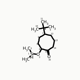 C[SiH](C)OC1CCC(C(C)(C)C)CCCC1=O